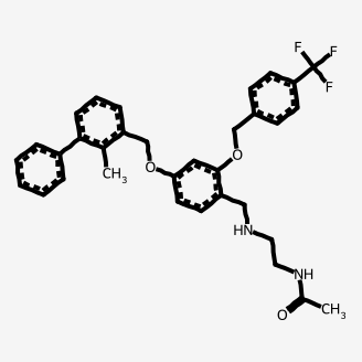 CC(=O)NCCNCc1ccc(OCc2cccc(-c3ccccc3)c2C)cc1OCc1ccc(C(F)(F)F)cc1